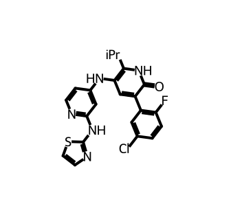 CC(C)c1[nH]c(=O)c(-c2cc(Cl)ccc2F)cc1Nc1ccnc(Nc2nccs2)c1